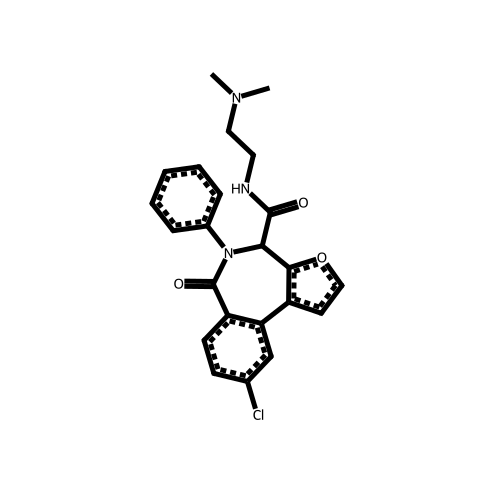 CN(C)CCNC(=O)C1c2occc2-c2cc(Cl)ccc2C(=O)N1c1ccccc1